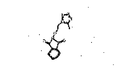 Cc1nnnn1CCON1C(=O)c2ccccc2C1=O